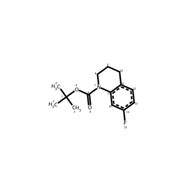 CC(C)(C)OC(=O)N1CCCc2ccc(F)cc21